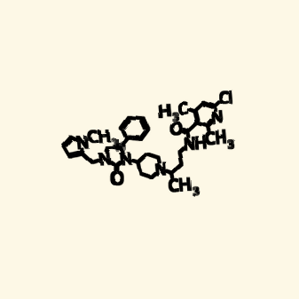 Cc1cc(Cl)nc(C)c1C(=O)NCCC(C)N1CCC(N2C(=O)N(Cc3cccn3C)C[C@H]2c2ccccc2)CC1